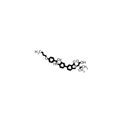 CCCCOc1ccc(C(=O)Nc2ccc(-c3ccc4c(c3)C(=O)N([C@H](C(=O)O)C(C)C)C4)cc2F)cc1